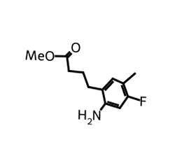 COC(=O)CCCc1cc(C)c(F)cc1N